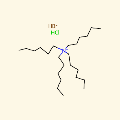 Br.CCCCCC[N+](CCCCCC)(CCCCCC)CCCCCC.Cl